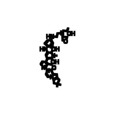 CC(O)CN(CCNc1ccc(NC2=CC(c3ccnc(-n4ccn5c6c(cc5c4=O)CC(C)(C)C6)c3CO)=CN(C)C2O)nc1)C1COC1